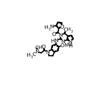 C=C1c2cc[nH]c2N=C(Nc2cc3c(cc2OC)CCN3C(=O)CN(C)C)N1C(=O)c1occc1N